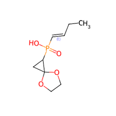 CC/C=C/P(=O)(O)C1CC12OCCO2